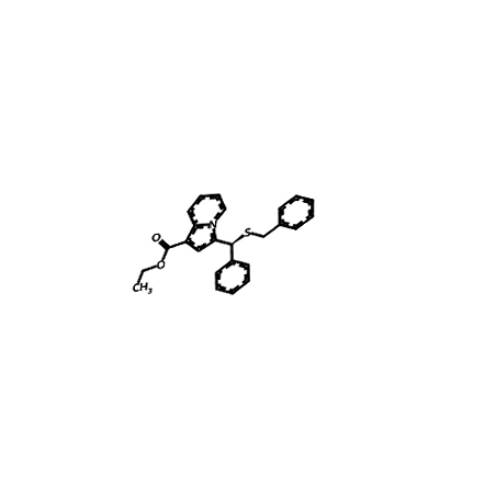 CCOC(=O)c1cc([C@@H](SCc2ccccc2)c2ccccc2)n2ccccc12